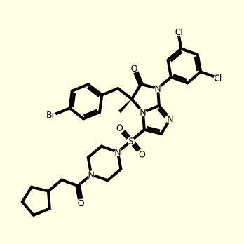 C[C@@]1(Cc2ccc(Br)cc2)C(=O)N(c2cc(Cl)cc(Cl)c2)c2ncc(S(=O)(=O)N3CCN(C(=O)CC4CCCC4)CC3)n21